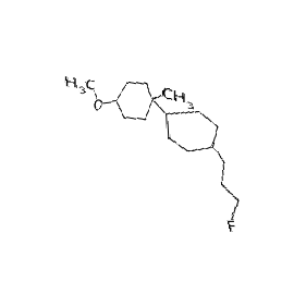 COC1CCC(C)(C2CCC(CCCF)CC2)CC1